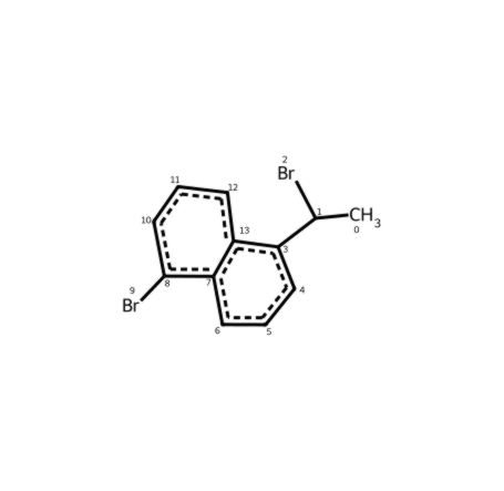 CC(Br)c1cccc2c(Br)cccc12